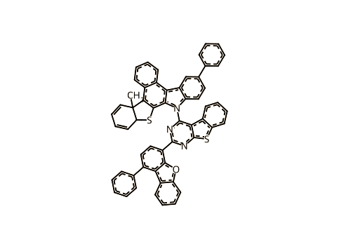 CC12C=CC=CC1Sc1c2c2ccccc2c2c3cc(-c4ccccc4)ccc3n(-c3nc(-c4ccc(-c5ccccc5)c5c4oc4ccccc45)nc4sc5ccccc5c34)c12